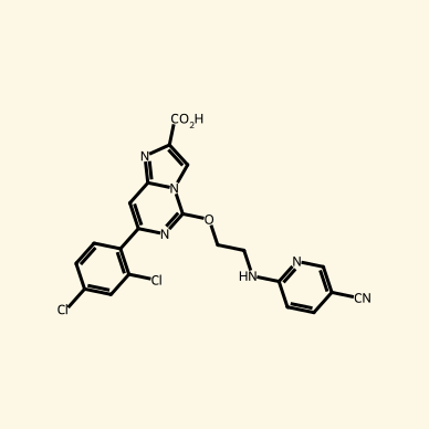 N#Cc1ccc(NCCOc2nc(-c3ccc(Cl)cc3Cl)cc3nc(C(=O)O)cn23)nc1